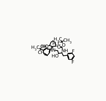 CC(C)(C)OC(=O)NC(Cc1cc(F)cc(F)c1)C(O)CNC1(c2cccc(C(C)(C)C)c2)CCCCC1O